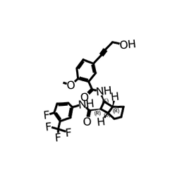 COc1ccc(C#CCO)cc1C(=O)N[C@H]1[C@@H]2CCC[C@@H]2[C@H]1C(=O)Nc1ccc(F)c(C(F)(F)F)c1